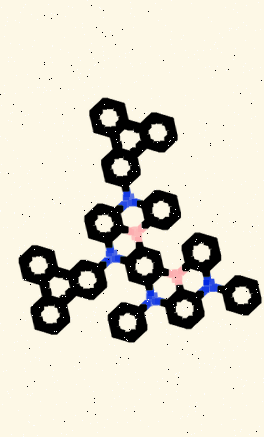 c1ccc(N2c3ccccc3B3c4cc5c(cc4N(c4ccccc4)c4cccc2c43)N(c2ccc3c4ccccc4c4ccccc4c3c2)c2cccc3c2B5c2ccccc2N3c2ccc3c4ccccc4c4ccccc4c3c2)cc1